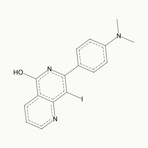 CN(C)c1ccc(-c2nc(O)c3cccnc3c2I)cc1